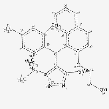 CSc1n[nH]c(N(C)C)c1C(c1c(C)cc(C)cc1C)c1c(OCCO)ccc2ccccc12